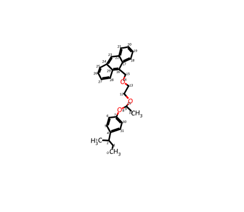 CCC(C)c1ccc(OC(C)OCCOCc2c3ccccc3cc3ccccc23)cc1